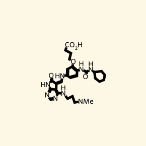 CNCCCNc1ncnc2c1/C(=C/Nc1ccc(NC(=O)NC3CCCCC3)c(OCCCC(=O)O)c1)C(=O)N2